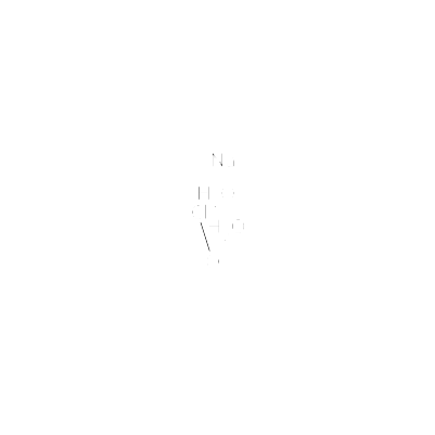 O.O.[Na+].[O-]Cl